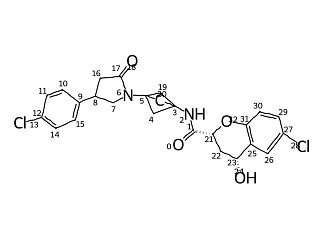 O=C(NC12CC(N3CC(c4ccc(Cl)cc4)CC3=O)(C1)C2)[C@H]1C[C@@H](O)c2cc(Cl)ccc2O1